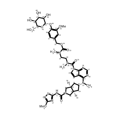 COc1nsc(NC(=O)N2C[C@H]3C[C@H](N(C)c4ncnc5c4ccn5C(=O)N(C)CCN(C)C(=O)OCc4ccc(O[C@@H]5O[C@H](C(=O)O)[C@@H](O)[C@H](O)[C@H]5O)c(OC)c4)C[C@H]3C2)n1